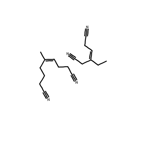 CC(=CCCC#N)CCCC#N.CCC(=CCC#N)CC#N